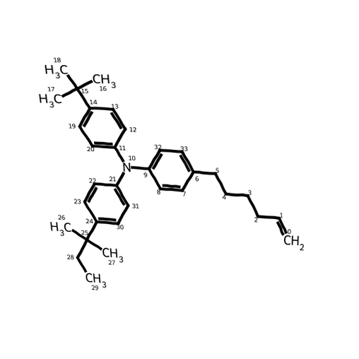 C=CCCCCc1ccc(N(c2ccc(C(C)(C)C)cc2)c2ccc(C(C)(C)CC)cc2)cc1